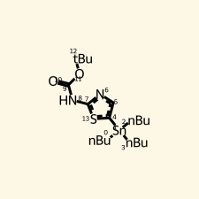 CCC[CH2][Sn]([CH2]CCC)([CH2]CCC)[c]1cnc(NC(=O)OC(C)(C)C)s1